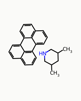 CC1CNCC(C)C1.c1cc2cccc3c4cccc5cccc(c(c1)c23)c54